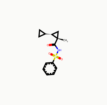 C[C@]1(C(=O)NS(=O)(=O)c2ccccc2)C[C@H]1C1CC1